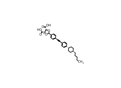 CCCCC[C@H]1CC[C@H](c2ccc(C#Cc3ccc(C4O[C@@H](C(=O)O)[C@H](C(=O)O)O4)cc3)cc2)CC1